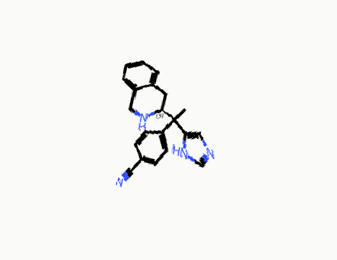 CC(c1ccc(C#N)cc1)(c1cnc[nH]1)[C@@H]1Cc2ccccc2CN1